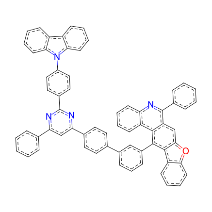 c1ccc(-c2cc(-c3ccc(-c4cccc(-c5c6c(cc7c(-c8ccccc8)nc8ccccc8c57)oc5ccccc56)c4)cc3)nc(-c3ccc(-n4c5ccccc5c5ccccc54)cc3)n2)cc1